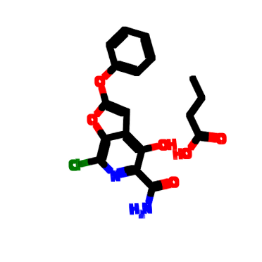 CCCC(=O)O.NC(=O)c1nc(Cl)c2oc(Oc3ccccc3)cc2c1O